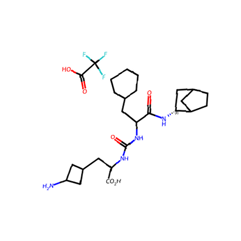 NC1CC(CC(NC(=O)NC(CC2CCCCC2)C(=O)N[C@@H]2CC3CCC2C3)C(=O)O)C1.O=C(O)C(F)(F)F